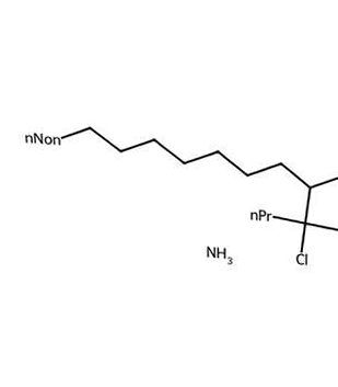 CCCCCCCCCCCCCCCCC(C)C(C)(Cl)CCC.N